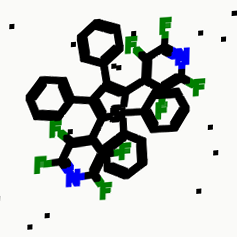 Fc1nc(F)c(F)c(C2=C(c3ccccc3)C(c3ccccc3)=C(c3c(F)c(F)nc(F)c3F)[Si]2(c2ccccc2)c2ccccc2)c1F